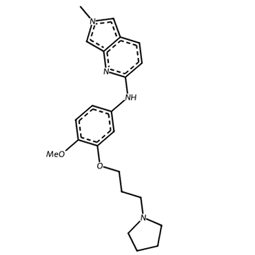 COc1ccc(Nc2ccc3cn(C)cc3n2)cc1OCCCN1CCCC1